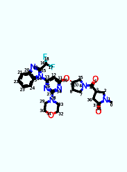 CN1CC(C(=O)N2CC[C@H](Oc3cc(-n4c(C(F)F)nc5ccccc54)nc(N4CCOCC4)n3)C2)CC1=O